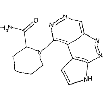 NC(=O)C1[CH]CCCN1c1nncc2nnc3[nH]ccc3c12